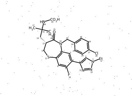 CCn1cc(-c2cc3c(cc2F)SC[C@H](CC(C)(C)NC(=O)O)C(=O)N3Cc2ccc(Cl)cc2)nn1